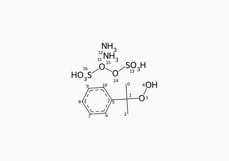 CC(C)(OO)c1ccccc1.N.N.O=S(=O)(O)OOS(=O)(=O)O